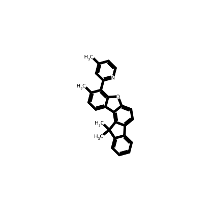 Cc1ccnc(-c2c(C)ccc3c2oc2ccc4c(c23)C(C)(C)c2ccccc2-4)c1